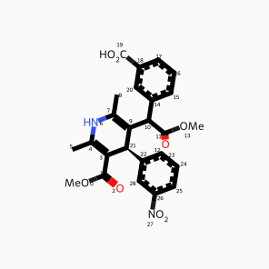 COC(=O)C1=C(C)NC(C)=C(C(C(=O)OC)c2cccc(C(=O)O)c2)[C@H]1c1cccc([N+](=O)[O-])c1